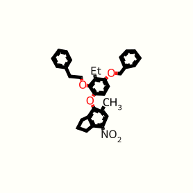 CCc1c(OCc2ccccc2)ccc(Oc2c(C)cc([N+](=O)[O-])c3c2CCC3)c1OCCc1ccccc1